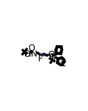 CC(C)(C)OC(=O)NC/C(F)=C/CO[Si](c1ccccc1)(c1ccccc1)C(C)(C)C